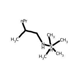 CCCC(C)CN[SH](C)(C)(C)C